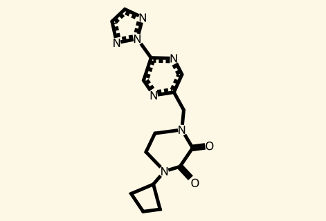 O=C1C(=O)N(C2CCC2)CCN1Cc1cnc(-n2nccn2)cn1